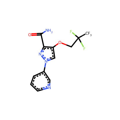 NC(=O)c1nn(-c2cccnc2)cc1OCC(F)(F)C(F)(F)F